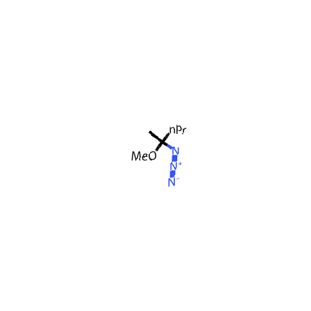 CCCC(C)(N=[N+]=[N-])OC